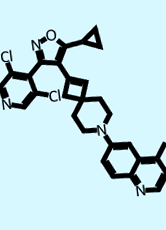 Cc1ccnc2ccc(N3CCC4(C=C(c5c(-c6c(Cl)cncc6Cl)noc5C5CC5)C4)CC3)cc12